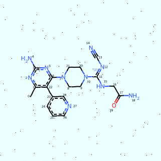 Cc1nc(N)nc(N2CCN(/C(=N\C#N)NCC(N)=O)CC2)c1-c1cccnc1